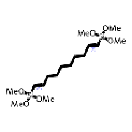 CO[Si](/C=C/CCCCCC/C=C/[Si](OC)(OC)OC)(OC)OC